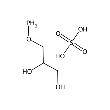 O=S(=O)(O)O.OCC(O)COP